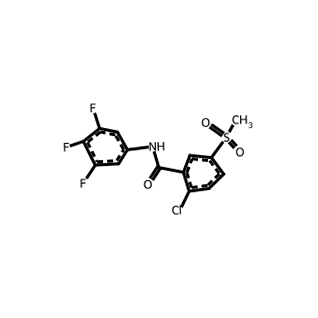 CS(=O)(=O)c1ccc(Cl)c(C(=O)Nc2cc(F)c(F)c(F)c2)c1